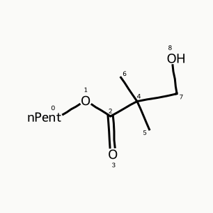 CCCCCOC(=O)C(C)(C)CO